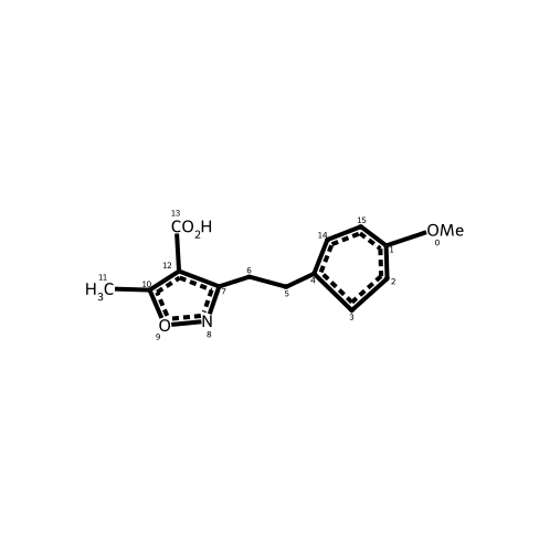 COc1ccc(CCc2noc(C)c2C(=O)O)cc1